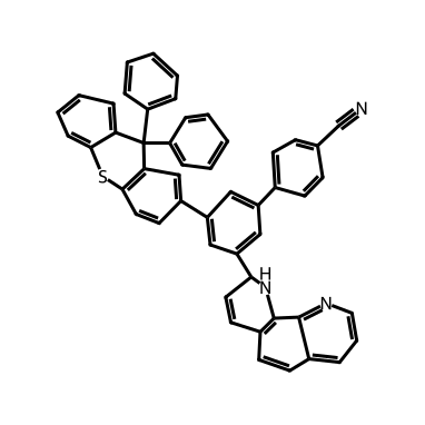 N#Cc1ccc(-c2cc(-c3ccc4c(c3)C(c3ccccc3)(c3ccccc3)c3ccccc3S4)cc(C3C=Cc4ccc5cccnc5c4N3)c2)cc1